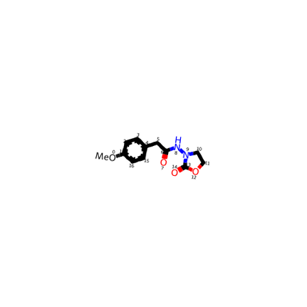 COc1ccc(CC(=O)NN2CCOC2=O)cc1